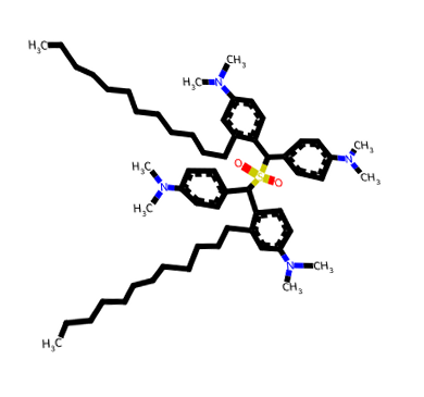 CCCCCCCCCCCCc1cc(N(C)C)ccc1C(c1ccc(N(C)C)cc1)S(=O)(=O)C(c1ccc(N(C)C)cc1)c1ccc(N(C)C)cc1CCCCCCCCCCCC